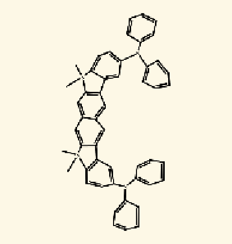 CS1(C)c2ccc(N(c3ccccc3)c3ccccc3)cc2-c2cc3cc4c(cc3cc21)S(C)(C)c1ccc(N(c2ccccc2)c2ccccc2)cc1-4